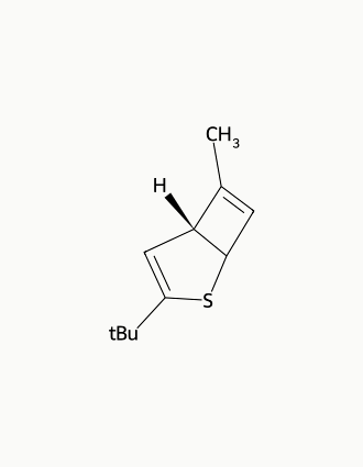 CC1=CC2SC(C(C)(C)C)=C[C@H]12